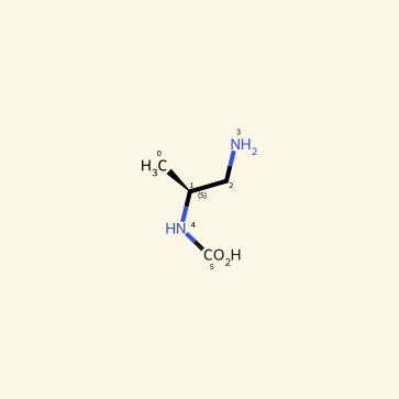 C[C@@H](CN)NC(=O)O